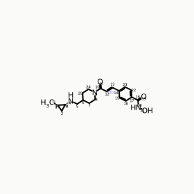 C[C@@H]1C[C@H]1NCC1CCN(C(=O)/C=C/c2ccc(C(=O)NO)cc2)CC1